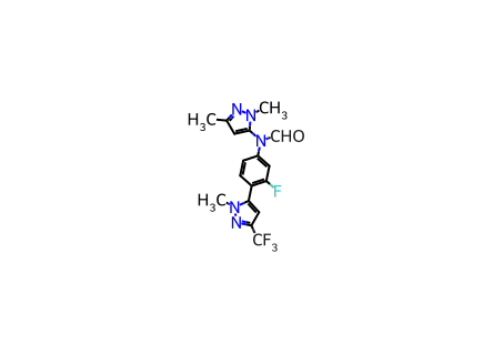 Cc1cc(N(C=O)c2ccc(-c3cc(C(F)(F)F)nn3C)c(F)c2)n(C)n1